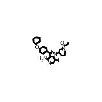 C=CC(=O)N1CCCC(n2nc(-c3ccc(Oc4ccccc4)cc3)c3c(N)ncc(I)c32)C1